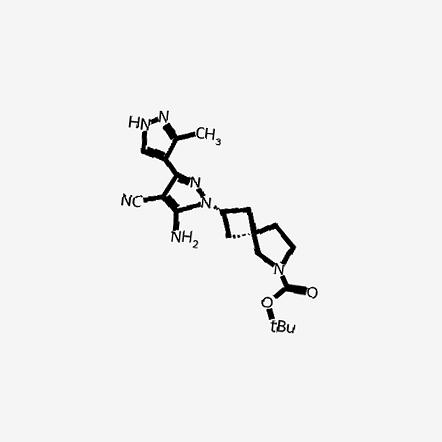 Cc1n[nH]cc1-c1nn([C@H]2C[C@@]3(CCN(C(=O)OC(C)(C)C)C3)C2)c(N)c1C#N